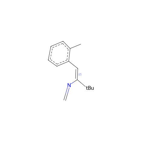 C=N/C(=C\c1ccccc1C)C(C)(C)C